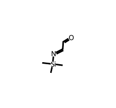 C[Si](C)(C)N=CC=O